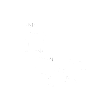 NC1CCN(c2ccc(Cl)c(C3=NCCC=C3)n2)CC1